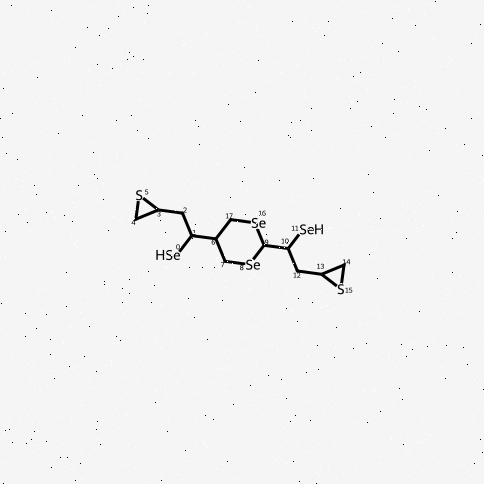 [SeH]C(CC1CS1)C1C[Se]C(C([SeH])CC2CS2)[Se]C1